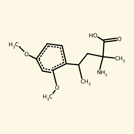 COc1ccc(C(C)CC(C)(N)C(=O)O)c(OC)c1